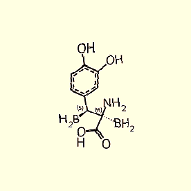 B[C@@H](c1ccc(O)c(O)c1)[C@@](B)(N)C(=O)O